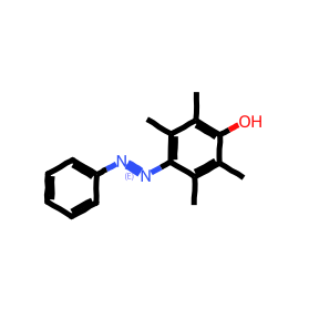 Cc1c(C)c(/N=N/c2ccccc2)c(C)c(C)c1O